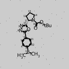 CB(C)c1ccc(-c2nnc([C@@H]3CCCN3C(=O)OC(C)(C)C)o2)cc1